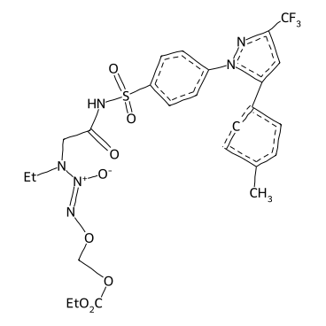 CCOC(=O)OCON=[N+]([O-])N(CC)CC(=O)NS(=O)(=O)c1ccc(-n2nc(C(F)(F)F)cc2-c2ccc(C)cc2)cc1